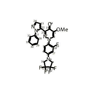 COc1cn(-c2ccc(N3CC(F)(F)C(F)(F)C3)cc2F)nc(-c2ccnn2-c2ccccc2)c1=O